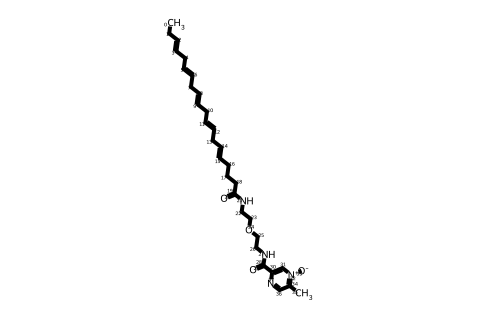 CCC=CCC=CCC=CCC=CCC=CCCCC(=O)NCCOCCNC(=O)c1c[n+]([O-])c(C)cn1